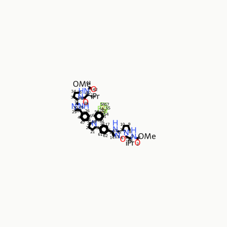 COC(=O)N[C@H](C(=O)N1CCC[C@H]1c1ncc(-c2ccc([C@H]3CC[C@H](c4ccc(-c5cnc([C@@H]6CCCN6C(=O)[C@@H](NC(=O)OC)C(C)C)[nH]5)cc4)N3c3ccc(S(F)(F)(F)(F)F)cc3)cc2)[nH]1)C(C)C